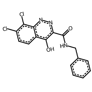 O=C(NCc1ccccc1)c1nnc2c(Cl)c(Cl)ccc2c1O